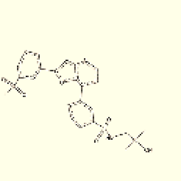 CC(C)(O)CNS(=O)(=O)c1cccc(-c2ccnc3cc(-c4cccc(S(C)(=O)=O)c4)oc23)c1